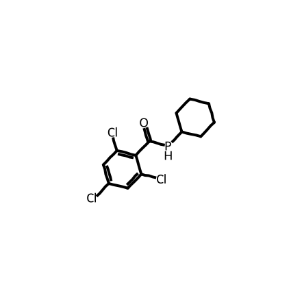 O=C(PC1CCCCC1)c1c(Cl)cc(Cl)cc1Cl